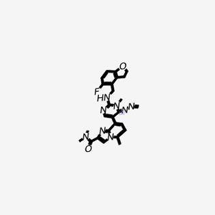 C=N/N=c1/c(-c2ccc(C)n3cc(C(=O)N(C)C)nc23)cnc(NCc2c(F)ccc3c2CCO3)n1C